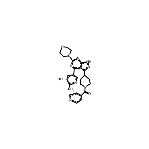 Cl.Nc1ncc(-c2nc(N3CCOCC3)nc3[nH]nc(C4CCN(C(=O)c5ccncc5)CC4)c23)cn1